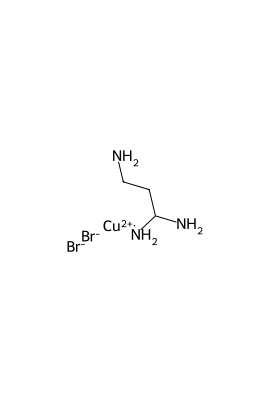 NCCC(N)N.[Br-].[Br-].[Cu+2]